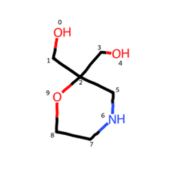 OCC1(CO)CNCCO1